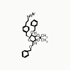 CC1(C)O[C@@H]2C(OCc3ccccc3)[C@H](Cc3ccc(CCN=[N+]=[N-])cc3)OC(COCc3ccccc3)[C@@H]2O1